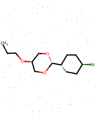 CCCO[C@H]1CO[C@H]([C@H]2CC[C@H](Br)CC2)OC1